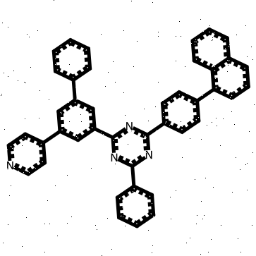 c1ccc(-c2cc(-c3ccncc3)cc(-c3nc(-c4ccccc4)nc(-c4ccc(-c5cccc6ccccc56)cc4)n3)c2)cc1